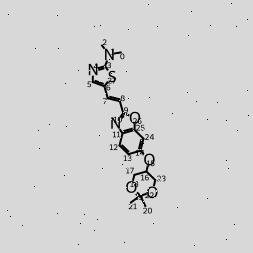 CN(C)c1ncc(/C=C/c2nc3ccc(OC4COC(C)(C)OC4)cc3o2)s1